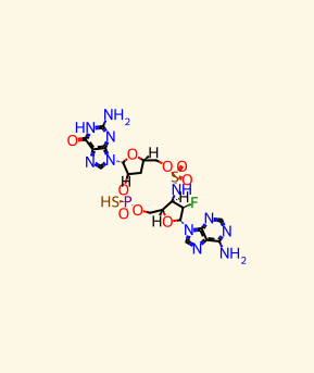 Nc1nc2c(ncn2[C@@H]2O[C@@H]3COS(=O)(=O)N[C@H]4[C@@H](F)[C@H](n5cnc6c(N)ncnc65)O[C@@H]4CO[P@@](=O)(S)O[C@@H]2C3)c(=O)[nH]1